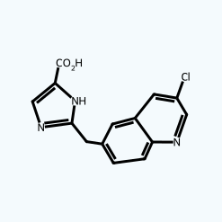 O=C(O)c1cnc(Cc2ccc3ncc(Cl)cc3c2)[nH]1